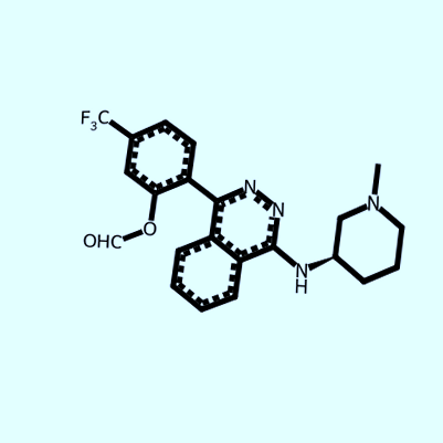 CN1CCC[C@@H](Nc2nnc(-c3ccc(C(F)(F)F)cc3OC=O)c3ccccc23)C1